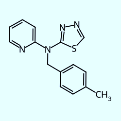 Cc1ccc(CN(c2ccccn2)c2nncs2)cc1